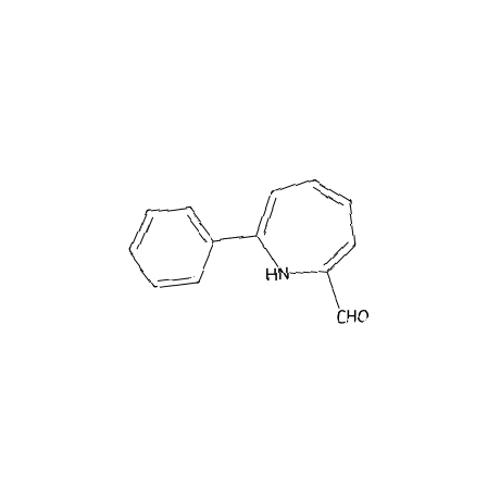 O=CC1=CC=CC=C(c2ccccc2)N1